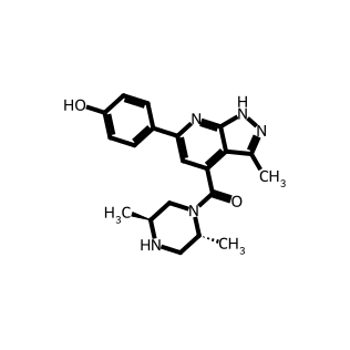 Cc1n[nH]c2nc(-c3ccc(O)cc3)cc(C(=O)N3C[C@H](C)NC[C@H]3C)c12